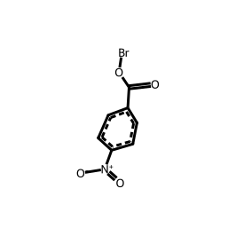 O=C(OBr)c1ccc([N+](=O)[O-])cc1